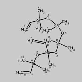 C=C[Si](C)(C)O[Si](C)(C)O[Si](C)(C)O[Si](C)(C=C)O[Si](C)(C)C=C